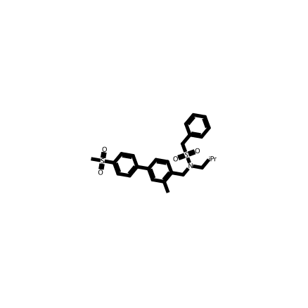 Cc1cc(-c2ccc(S(C)(=O)=O)cc2)ccc1CN(CC(C)C)S(=O)(=O)Cc1ccccc1